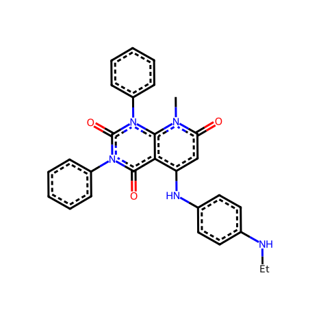 CCNc1ccc(Nc2cc(=O)n(C)c3c2c(=O)n(-c2ccccc2)c(=O)n3-c2ccccc2)cc1